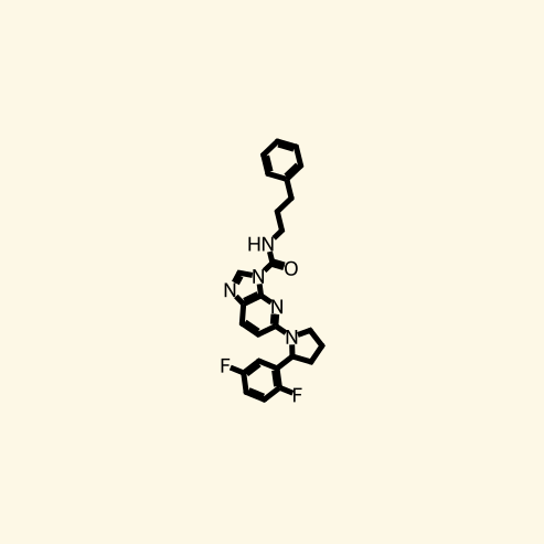 O=C(NCCCc1ccccc1)n1cnc2ccc(N3CCCC3c3cc(F)ccc3F)nc21